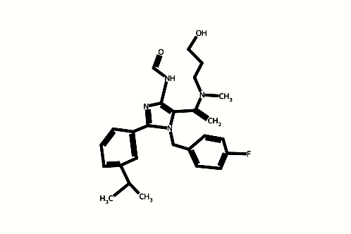 C=C(c1c(NC=O)nc(-c2cccc(C(C)C)c2)n1Cc1ccc(F)cc1)N(C)CCCO